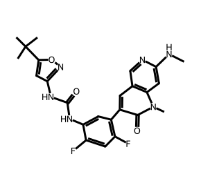 CNc1cc2c(cn1)cc(-c1cc(NC(=O)Nc3cc(C(C)(C)C)on3)c(F)cc1F)c(=O)n2C